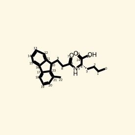 CCCC[C@H](NC(=O)CCC1c2ccccc2-c2cccc(C)c21)C(=O)O